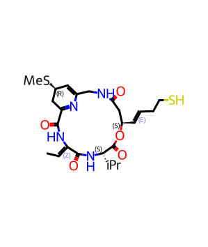 C/C=C1\NC(=O)C2=NC(=C[C@H](SC)C2)CNC(=O)C[C@@H](/C=C/CCS)OC(=O)[C@H](C(C)C)NC1=O